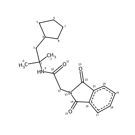 CC(C)(CC1CCCC1)NC(=O)CN1C(=O)c2ccccc2C1=O